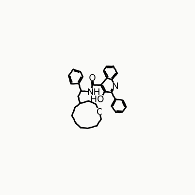 O=C(NC(CC1CCCCCCCCCC1)c1ccccc1)c1c(O)c(-c2ccccc2)nc2ccccc12